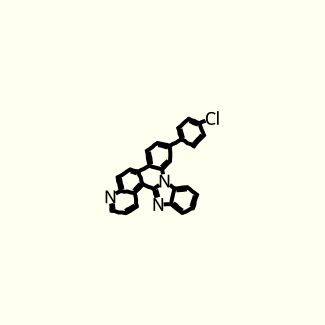 Clc1ccc(-c2ccc3c4ccc5ncccc5c4c4nc5ccccc5n4c3c2)cc1